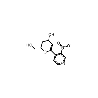 O=[N+]([O-])c1cnccc1C1=C[C@@H](O)C[C@@H](CO)O1